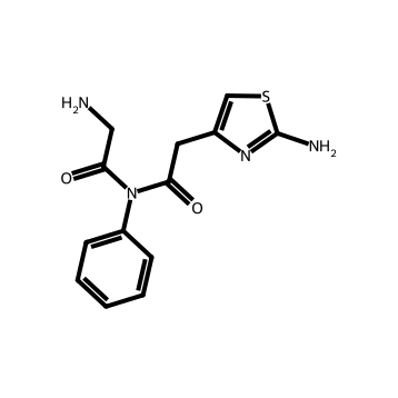 NCC(=O)N(C(=O)Cc1csc(N)n1)c1ccccc1